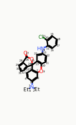 CCN(CC)c1ccc2c(c1)Oc1ccc(Nc3ccccc3Cl)cc1C21OC(=O)c2ccccc21